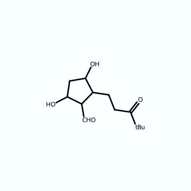 CC(C)(C)C(=O)CCC1C(O)CC(O)C1C=O